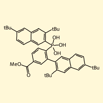 COC(=O)c1ccc(P(O)(O)(O)c2cc3ccc(C(C)(C)C)cc3cc2C(C)(C)C)c(-c2cc3ccc(C(C)(C)C)cc3cc2C(C)(C)C)c1